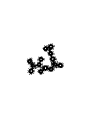 c1ccc(-c2cc(-c3nc(-c4ccccc4)nc(-c4ccccc4)n3)cc(-n3c4ccccc4c4cc(-c5cccc(-c6nc(-c7ccccc7)nc(-c7ccc(-c8ccc(-n9c%10ccccc%10c%10ccccc%109)cc8)cc7)n6)c5)ccc43)c2)cc1